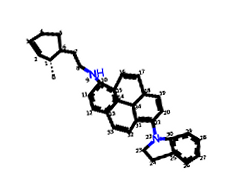 C[C@@H]1C=CCCC1CCNc1ccc2c3c1C=CC1C=CC(N4CCc5ccccc54)=C(C=C2)C31